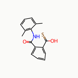 Cc1cccc(C)c1NC(=O)c1ccccc1C(O)=S